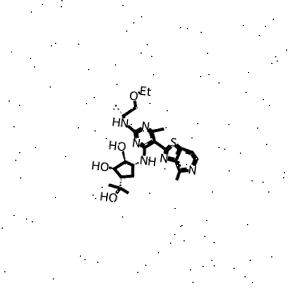 CCOC[C@@H](C)Nc1nc(C)c(-c2nc3c(C)nccc3s2)c(N[C@@H]2C[C@H](C(C)(C)O)[C@@H](O)[C@H]2O)n1